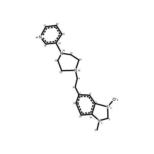 CN1C[S+]([O-])c2cc(CCN3CCN(c4cccnc4)CC3)ccc21